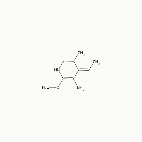 C/C=C1/C(N)=C(OC)NCC1C